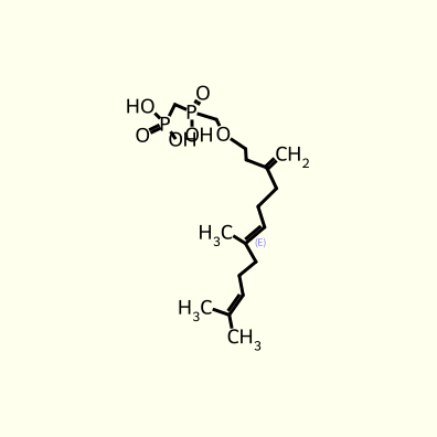 C=C(CC/C=C(\C)CCC=C(C)C)CCOCP(=O)(O)CP(=O)(O)O